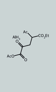 CCOC(=O)C(CC(=O)C(=O)OC(C)=O)C(C)=O.[AlH3]